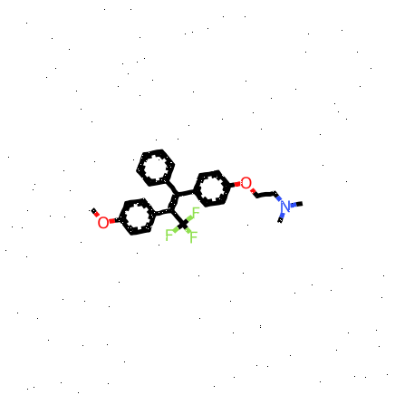 COc1ccc(/C(=C(\c2ccccc2)c2ccc(OCCN(C)C)cc2)C(F)(F)F)cc1